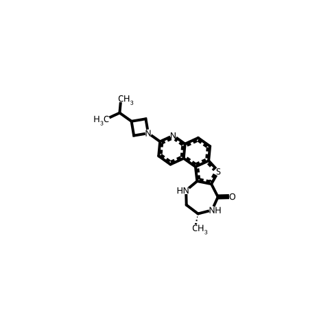 CC(C)C1CN(c2ccc3c(ccc4sc5c(c43)NC[C@@H](C)NC5=O)n2)C1